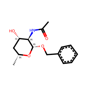 CC(=O)N[C@H]1[C@H](OCc2ccccc2)O[C@H](C)C[C@@H]1O